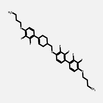 CCCCOc1ccc(C2=CCC(COc3ccc(-c4ccc(OCCCC)c(F)c4F)c(F)c3F)CC2)c(F)c1F